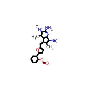 [C-]#[N+]C1=C(C)/C(=C\c2ccc(-c3ccccc3OC=O)o2)c2c1nc(N)c([N+]#[C-])c2C